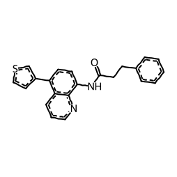 O=C(CCc1ccccc1)Nc1ccc(-c2ccsc2)c2cccnc12